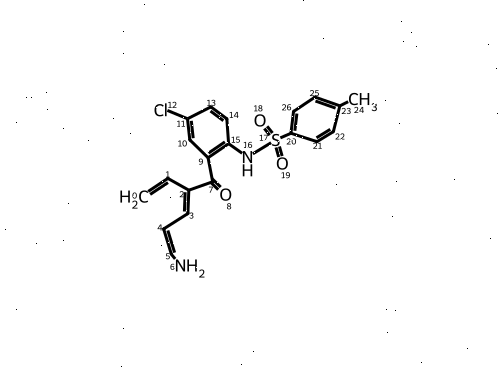 C=C/C(=C\C=C/N)C(=O)c1cc(Cl)ccc1NS(=O)(=O)c1ccc(C)cc1